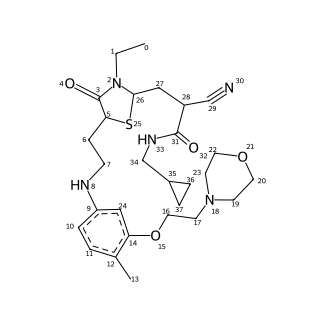 CCN1C(=O)C(CCNc2ccc(C)c(OCCN3CCOCC3)c2)SC1CC(C#N)C(=O)NCC1CC1